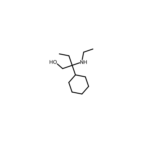 CCNC(CC)(CO)C1CCCCC1